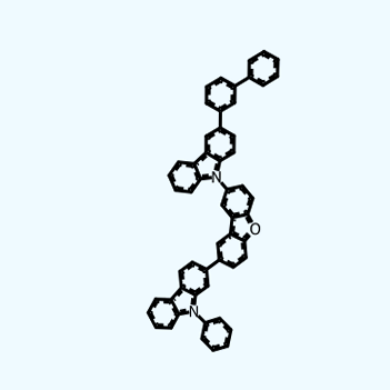 c1ccc(-c2cccc(-c3ccc4c(c3)c3ccccc3n4-c3ccc4oc5ccc(-c6ccc7c8ccccc8n(-c8ccccc8)c7c6)cc5c4c3)c2)cc1